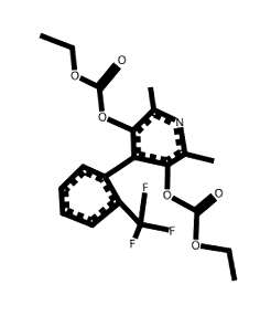 CCOC(=O)Oc1c(C)nc(C)c(OC(=O)OCC)c1-c1ccccc1C(F)(F)F